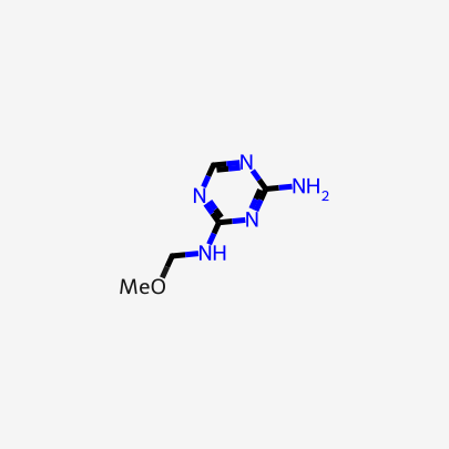 COCNc1ncnc(N)n1